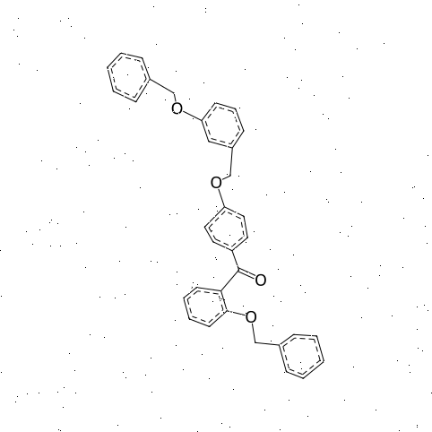 O=C(c1ccc(OCc2cccc(OCc3ccccc3)c2)cc1)c1[c]cccc1OCc1ccccc1